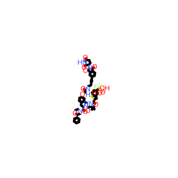 CC(C)(C)C(NC(=O)c1cc2cc(C(F)(F)P(=O)(O)O)ccc2s1)C(=O)N1Cc2cc(OCC(=O)NCCC#Cc3ccc4c(c3)C(=O)N(C3CCC(=O)NC3=O)C4=O)ccc2C[C@H]1C(=O)N1CCO[C@H](c2ccccc2)C1